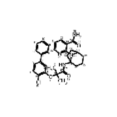 CC(C)(Oc1cc(-c2ccccc2)ccc1Cl)C(=O)NC12CCCC(CC1)N2c1ncccc1C(N)=O